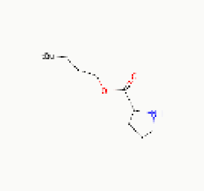 CC(C)(C)CCCOC(=O)C1CCCN1